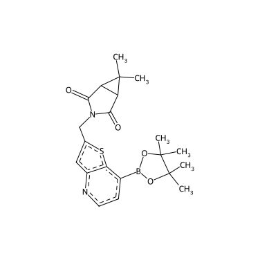 CC1(C)C2C(=O)N(Cc3cc4nccc(B5OC(C)(C)C(C)(C)O5)c4s3)C(=O)C21